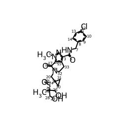 Cn1nc(C(=O)NCc2ccc(Cl)cc2)c2c1C(=O)N(CC1([S+]([O-])C(C)(CO)CO)CC1)CC2